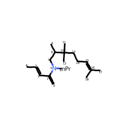 C=C(/C=C/C)N(CCC)CC(C)C(C)(C)CCC=C(C)C